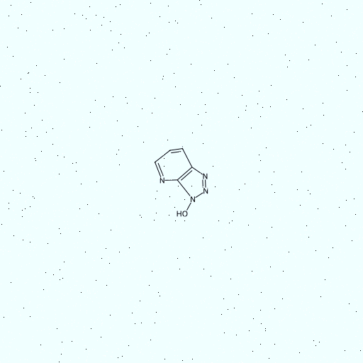 On1nnc2[c]ccnc21